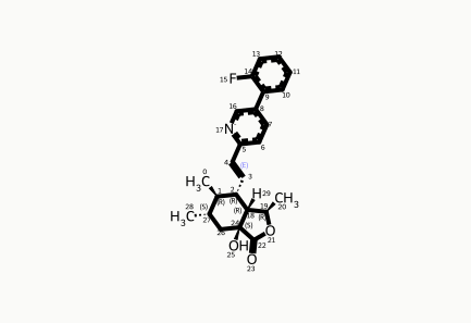 C[C@H]1[C@H](/C=C/c2ccc(-c3ccccc3F)cn2)[C@@H]2[C@@H](C)OC(=O)[C@]2(O)C[C@@H]1C